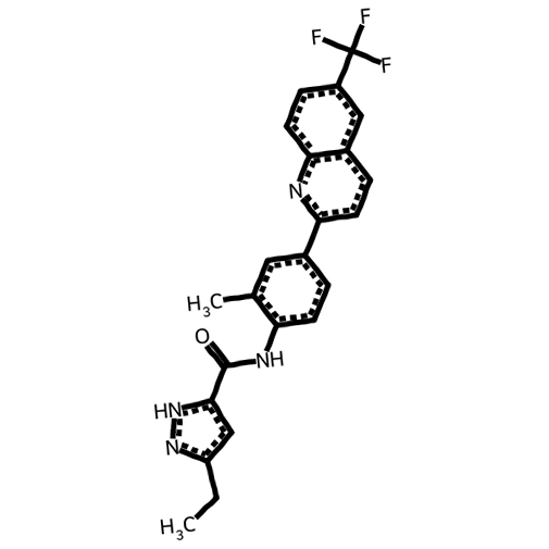 CCc1cc(C(=O)Nc2ccc(-c3ccc4cc(C(F)(F)F)ccc4n3)cc2C)[nH]n1